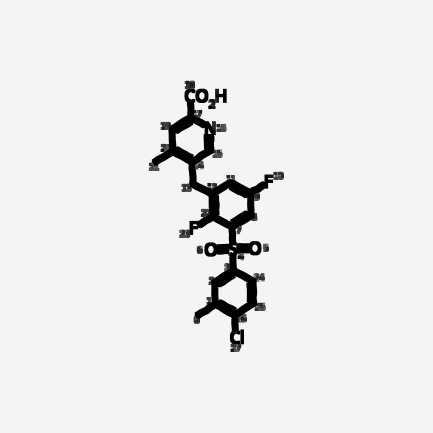 Cc1cc(S(=O)(=O)c2cc(F)cc(Cc3cnc(C(=O)O)cc3C)c2F)ccc1Cl